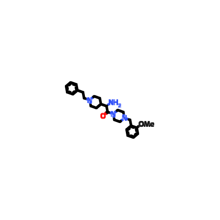 COc1ccccc1CN1CCN(C(=O)[C@H](N)C2CCN(CCc3ccccc3)CC2)CC1